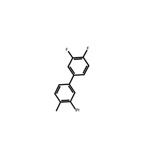 Cc1ccc(-c2ccc(F)c(F)c2)cc1C(C)C